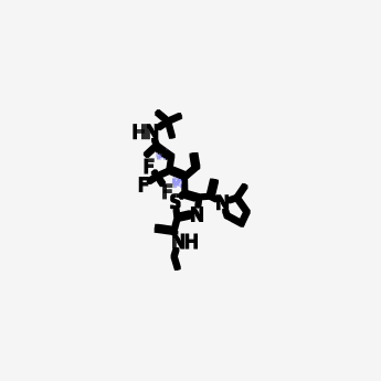 C=C/C(=C(\C=C(/C)NC(C)(C)C)C(F)(F)F)c1sc(C(=C)NCC)nc1C(=C)N1CCCC1C